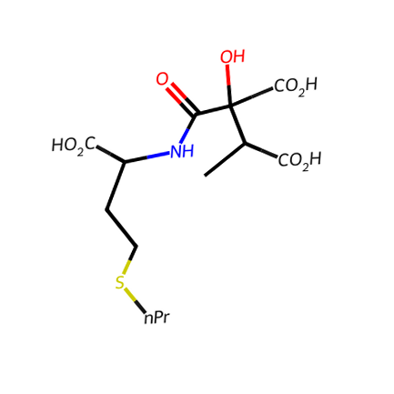 CCCSCCC(NC(=O)C(O)(C(=O)O)C(C)C(=O)O)C(=O)O